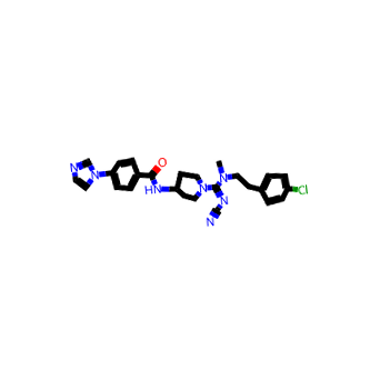 CN(CCc1ccc(Cl)cc1)C(=NC#N)N1CCC(NC(=O)c2ccc(-n3ccnc3)cc2)CC1